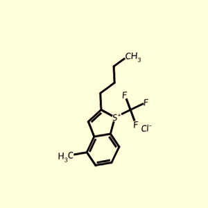 CCCCc1cc2c(C)cccc2[s+]1C(F)(F)F.[Cl-]